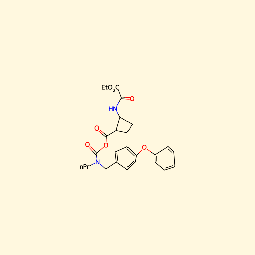 CCCN(Cc1ccc(Oc2ccccc2)cc1)C(=O)OC(=O)C1CCC1NC(=O)C(=O)OCC